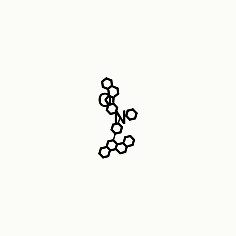 c1ccc(N(c2ccc(-c3cc4ccccc4c4ccc5ccccc5c34)cc2)c2ccc3oc4c5ccccc5ccc4c3c2)cc1